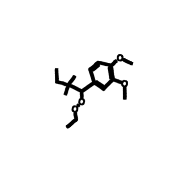 CCOOC(c1ccc(OC)c(OC)c1)C(C)(C)CC